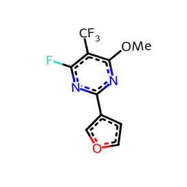 COc1nc(-c2ccoc2)nc(F)c1C(F)(F)F